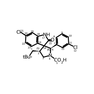 CC(C)(C)C[C@@H]1CN(C(=O)O)[C@H](c2cccc(Cl)c2)C12C(=O)Nc1cc(Cl)ccc12